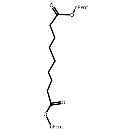 CCCCCOC(=O)CCCCCCCC(=O)OCCCCC